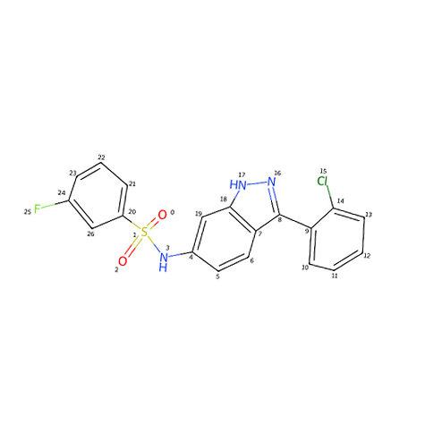 O=S(=O)(Nc1ccc2c(-c3ccccc3Cl)n[nH]c2c1)c1cccc(F)c1